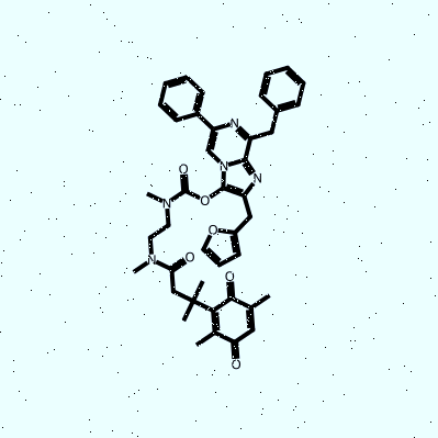 CC1=CC(=O)C(C)=C(C(C)(C)CC(=O)N(C)CCN(C)C(=O)Oc2c(Cc3ccco3)nc3c(Cc4ccccc4)nc(-c4ccccc4)cn23)C1=O